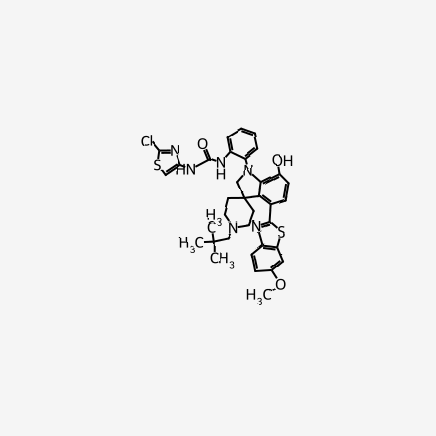 COc1ccc2nc(-c3ccc(O)c4c3C3(CCN(CC(C)(C)C)CC3)CN4c3ccccc3NC(=O)Nc3csc(Cl)n3)sc2c1